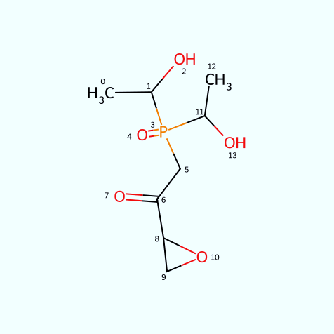 CC(O)P(=O)(CC(=O)C1CO1)C(C)O